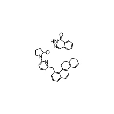 O=C1CCCN1c1cccc(Cc2cccc3ccc4c(c23)CCC2=C4C=CCC2)n1.O=c1[nH]ncc2ccccc12